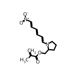 C=C(C)C(=O)OCC1CCCN1/C=C/C=C/C=C/[N+](=O)[O-]